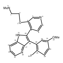 CNCCOc1cnccc1-c1[nH]c2cccnc2c1-c1cc(OC)ccc1F